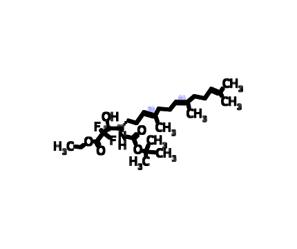 CCOC(=O)C(F)(F)[C@@H](O)[C@H](CC/C=C(\C)CC/C=C(\C)CCC=C(C)C)NC(=O)OC(C)(C)C